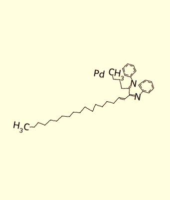 CCCCCCCCCCCCCCCCC=CC(=Nc1ccccc1)C(CCCC)=Nc1ccccc1.[Pd]